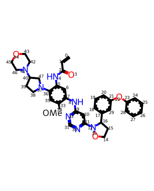 C=CC(=O)Nc1cc(Nc2cc(N3OCCC3c3cccc(Oc4ccccc4)c3)ncn2)c(OC)cc1N1CCC(N2CCOCC2)C1